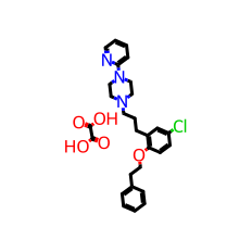 Clc1ccc(OCCc2ccccc2)c(CCCN2CCN(c3ccccn3)CC2)c1.O=C(O)C(=O)O